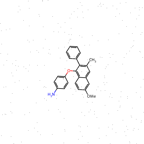 COc1ccc2c(Oc3ccc(N)cc3)c(-c3ccccc3)c(C)cc2c1